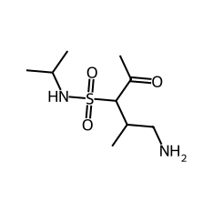 CC(=O)C(C(C)CN)S(=O)(=O)NC(C)C